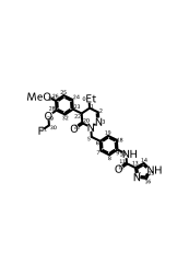 CCC1C=NN(Cc2ccc(NC(=O)c3c[nH]cn3)cc2)C(=O)C1c1ccc(OC)c(OCF)c1